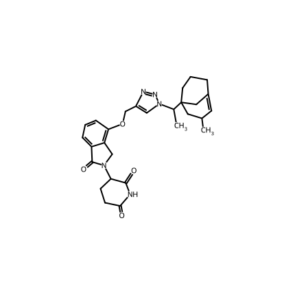 CC1C=C2CCCC(C(C)n3cc(COc4cccc5c4CN(C4CCC(=O)NC4=O)C5=O)nn3)(C2)C1